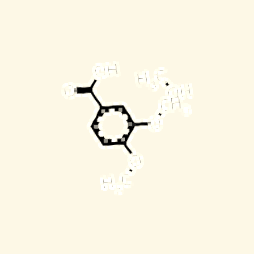 CO.COc1ccc(C(=O)O)cc1OC